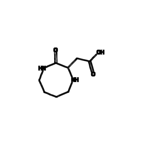 O=C(O)CC1NCCCCNC1=O